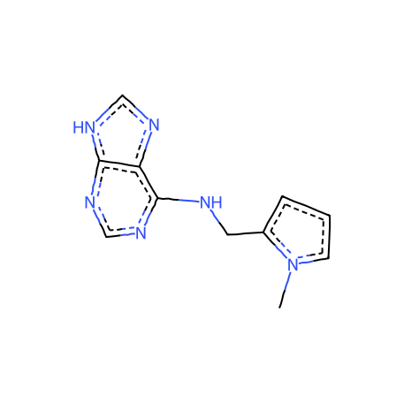 Cn1cccc1CNc1ncnc2[nH]cnc12